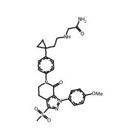 COc1ccc(-n2nc(S(C)(=O)=O)c3c2C(=O)N(c2ccc(C4(CCNCC(N)=O)CC4)cc2)CC3)cc1